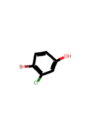 Oc1[c]c(Cl)c(Br)cc1